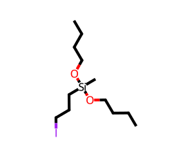 CCCCO[Si](C)(CCCI)OCCCC